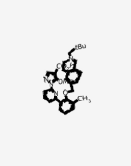 COc1c(C(=O)O)cnn1-c1cccc(-c2cccc(C)c2OCc2ccc3c(c2)CCN(CC(C)(C)C)C3)n1